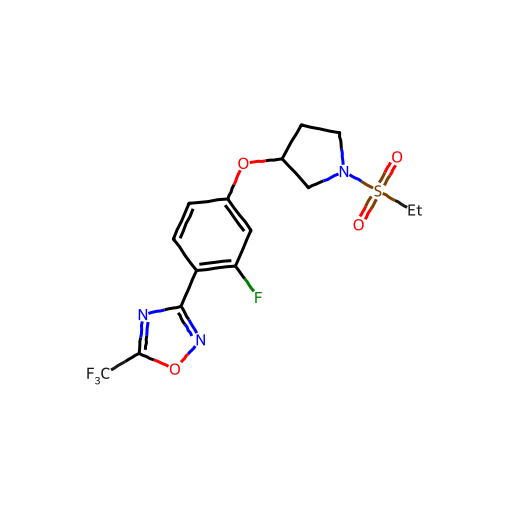 CCS(=O)(=O)N1CCC(Oc2ccc(-c3noc(C(F)(F)F)n3)c(F)c2)C1